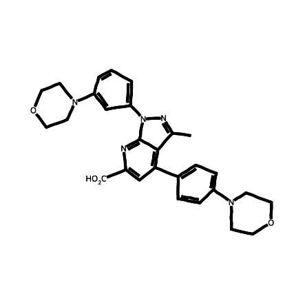 Cc1nn(-c2cccc(N3CCOCC3)c2)c2nc(C(=O)O)cc(-c3ccc(N4CCOCC4)cc3)c12